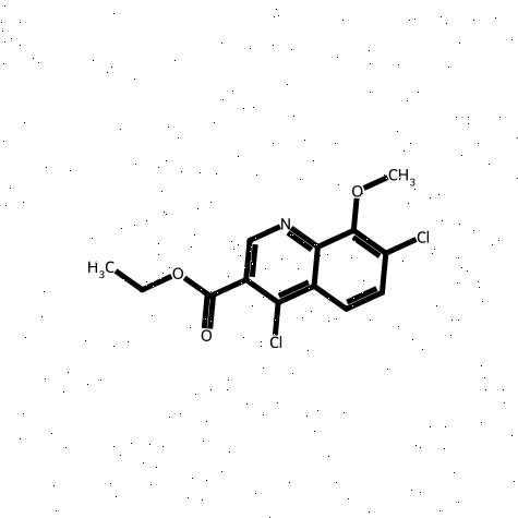 CCOC(=O)c1cnc2c(OC)c(Cl)ccc2c1Cl